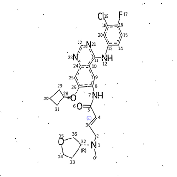 CN(C/C=C/C(=O)Nc1cc2c(Nc3ccc(F)c(Cl)c3)ncnc2cc1OC1CCC1)[C@@H]1CCOC1